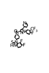 O=C(c1cc(-c2cccnc2)n(-c2ccc(F)c(C(F)(F)F)c2)n1)N1C=CC(n2c(=S)[nH]c3ccc(F)c(F)c32)=CC1